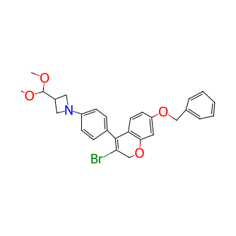 COC(OC)C1CN(c2ccc(C3=C(Br)COc4cc(OCc5ccccc5)ccc43)cc2)C1